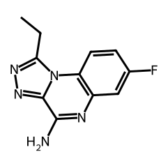 CCc1nnc2c(N)nc3cc(F)ccc3n12